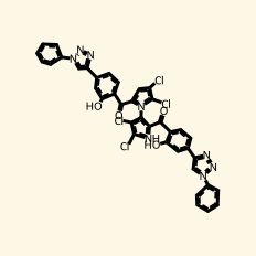 O=C(c1ccc(-c2cn(-c3ccccc3)nn2)cc1O)c1[nH]c(Cl)c(Cl)c1-n1c(C(=O)c2ccc(-c3cn(-c4ccccc4)nn3)cc2O)cc(Cl)c1Cl